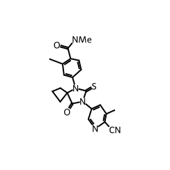 CNC(=O)c1ccc(N2C(=S)N(c3cnc(C#N)c(C)c3)C(=O)C23CCC3)cc1C